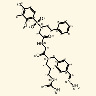 Cc1c(Cl)ccc(S(=O)(=O)N(CCc2ccccc2)CC(=O)NCC(=O)N(CCCNC(=O)O)Cc2ccc(C=NN)cc2)c1Cl